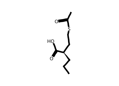 CCC[C@H](CCSC(C)=O)C(=O)O